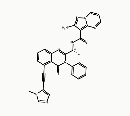 C[C@@H](NC(=O)c1c(N)nn2cccnc12)c1nc2cccc(C#Cc3cncn3C)c2c(=O)n1-c1ccccc1